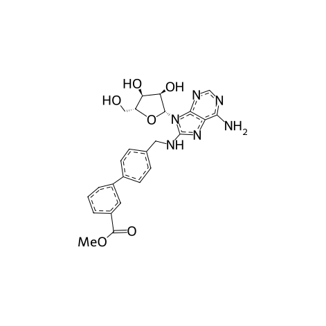 COC(=O)c1cccc(-c2ccc(CNc3nc4c(N)ncnc4n3[C@@H]3O[C@H](CO)[C@@H](O)[C@H]3O)cc2)c1